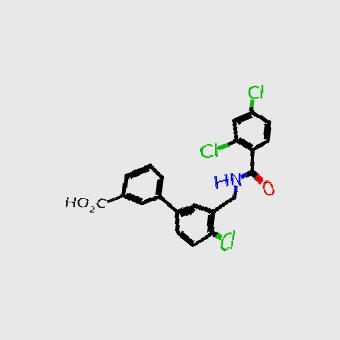 O=C(O)c1cccc(-c2ccc(Cl)c(CNC(=O)c3ccc(Cl)cc3Cl)c2)c1